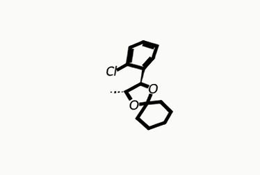 [CH2][C@H]1OC2(CCCCC2)O[C@@H]1c1ccccc1Cl